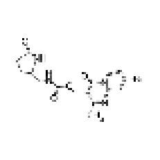 Cc1nc2cc(Br)ccn2c(=O)c1COC(=O)NCC1CCC(=O)N1